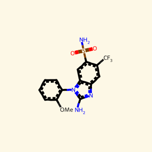 COc1ccccc1-n1c(N)nc2cc(C(F)(F)F)c(S(N)(=O)=O)cc21